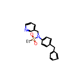 CCS(=O)(=O)N(Cc1cccnc1)c1ccc(Cc2ccccc2)cc1